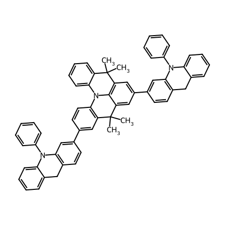 CC1(C)c2ccccc2N2c3ccc(-c4ccc5c(c4)N(c4ccccc4)c4ccccc4C5)cc3C(C)(C)c3cc(-c4ccc5c(c4)N(c4ccccc4)c4ccccc4C5)cc1c32